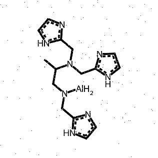 CC(C[N]([AlH2])Cc1ncc[nH]1)N(Cc1ncc[nH]1)Cc1ncc[nH]1